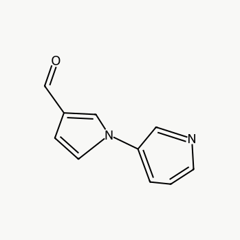 O=Cc1ccn(-c2cccnc2)c1